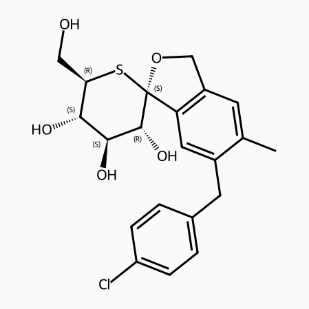 Cc1cc2c(cc1Cc1ccc(Cl)cc1)[C@]1(OC2)S[C@H](CO)[C@@H](O)[C@H](O)[C@H]1O